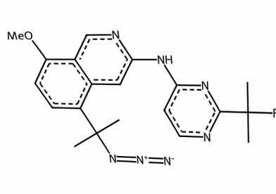 COc1ccc(C(C)(C)N=[N+]=[N-])c2cc(Nc3ccnc(C(C)(C)F)n3)ncc12